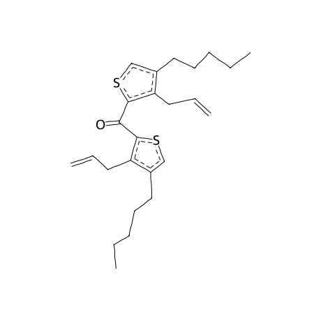 C=CCc1c(CCCCC)csc1C(=O)c1scc(CCCCC)c1CC=C